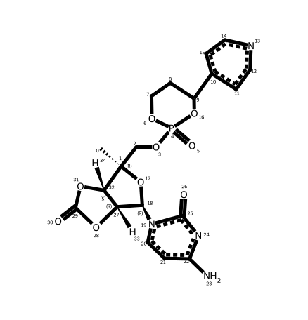 C[C@]1(COP2(=O)OCCC(c3ccncc3)O2)O[C@@H](n2ccc(N)nc2=O)[C@@H]2OC(=O)O[C@@H]21